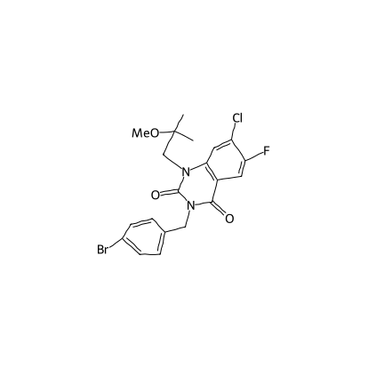 COC(C)(C)Cn1c(=O)n(Cc2ccc(Br)cc2)c(=O)c2cc(F)c(Cl)cc21